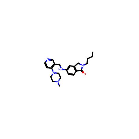 CCCCN1Cc2cc(NCc3cnccc3N3CCN(C)CC3)ccc2C1=O